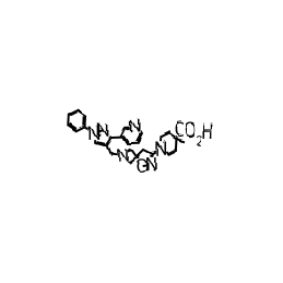 CC1(C(=O)O)CCN(C2=NOC3(C2)CN(Cc2cn(-c4ccccc4)nc2-c2cccnc2)C3)CC1